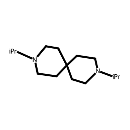 CC(C)N1CCC2(CC1)CCN(C(C)C)CC2